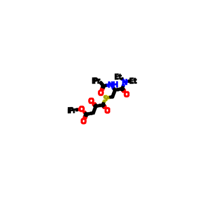 CCN(CC)C(=O)C(CSC(=O)C(=O)CC(=O)OC(C)C)NC(=O)C(C)C